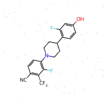 N#Cc1ccc(N2CCC(c3ccc(O)cc3F)CC2)c(F)c1C(F)(F)F